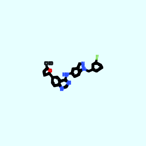 O=Cc1ccc(-c2ccc3ncnc(Nc4ccc5c(cnn5Cc5cccc(F)c5)c4)c3c2)o1